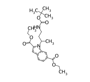 CCOC(=O)c1ccc2cc(C(=O)OCC)n(C(C)CCNC(=O)OC(C)(C)C)c2c1